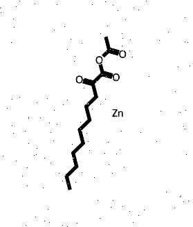 CCCCCCCCCC(=O)C(=O)OC(C)=O.[Zn]